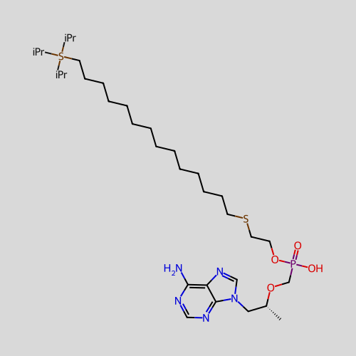 CC(C)S(CCCCCCCCCCCCCCSCCOP(=O)(O)CO[C@H](C)Cn1cnc2c(N)ncnc21)(C(C)C)C(C)C